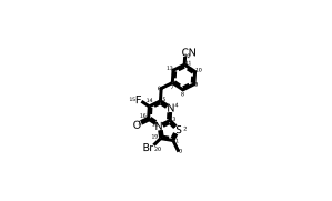 Cc1sc2nc(Cc3cccc(C#N)c3)c(F)c(=O)n2c1Br